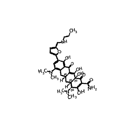 CCCNCc1ccc(-c2cc(N(C)C)c3c(c2O)C(=O)C2=C(O)[C@]4(O)C(=O)C(C(N)=O)=C(O)[C@@H](N(C)C)[C@@H]4C[C@@H]2C3)o1